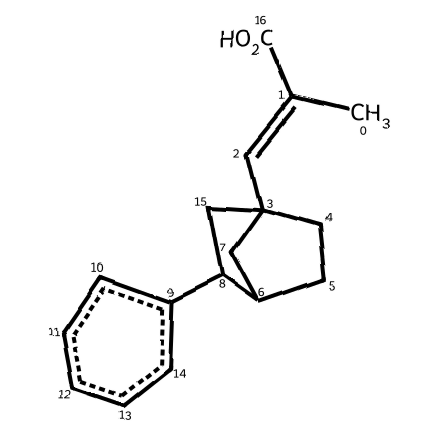 CC(=CC12CCC(C1)C(c1ccccc1)C2)C(=O)O